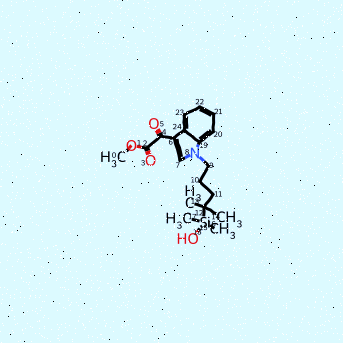 COC(=O)C(=O)c1cn(CCCC(C)(C)[Si](C)(C)O)c2ccccc12